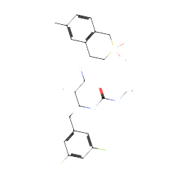 CCc1ccc2c(c1)[C@@H](NC[C@@H](O)[C@H](Cc1cc(F)cc(F)c1)NC(=O)NC(C)CC)CS(O)(O)C2